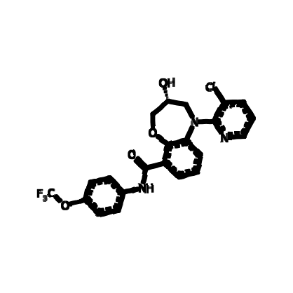 O=C(Nc1ccc(OC(F)(F)F)cc1)c1cccc2c1OC[C@H](O)CN2c1ncccc1Cl